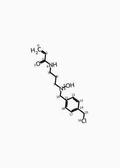 C=CC(=O)NCCCN(O)Cc1ccc(CCl)cc1